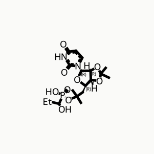 CCC(O)P(=O)(O)OC(C)(C)C[C@H]1O[C@@H](n2ccc(=O)[nH]c2=O)[C@@H]2OC(C)(C)O[C@@H]21